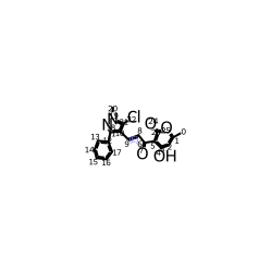 Cc1cc(O)c(C(=O)/C=C/c2c(-c3ccccc3)nn(C)c2Cl)c(=O)o1